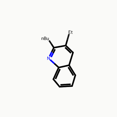 CCCCc1nc2ccccc2cc1CC